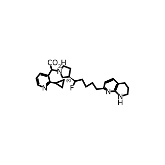 O=C(O)C(c1cccnc1C1CC1)N1CC[C@@H](C(F)CCCCc2ccc3c(n2)NCCC3)C1